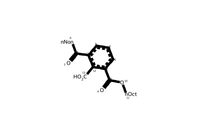 CCCCCCCCCC(=O)c1cccc(C(=O)OCCCCCCCC)c1C(=O)O